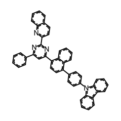 c1ccc(-c2cc(-c3ccc(-c4ccc(-n5c6ccccc6c6ccccc65)cc4)c4ccccc34)nc(-c3ccc4ccccc4n3)n2)cc1